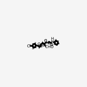 O=CN/C(=C\c1ccc(-c2ccc(Cl)cc2)o1)C(=O)NCC(=O)Nc1ccccc1